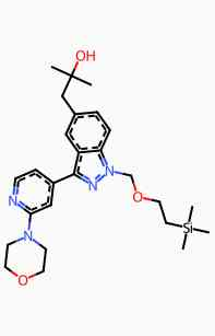 CC(C)(O)Cc1ccc2c(c1)c(-c1ccnc(N3CCOCC3)c1)nn2COCC[Si](C)(C)C